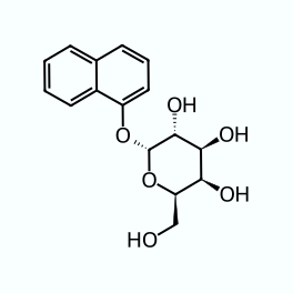 OC[C@H]1O[C@H](Oc2cccc3ccccc23)[C@H](O)[C@@H](O)[C@H]1O